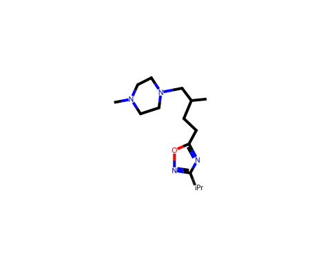 CC(CCc1nc(C(C)C)no1)CN1CCN(C)CC1